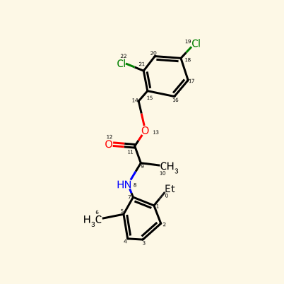 CCc1cccc(C)c1NC(C)C(=O)OCc1ccc(Cl)cc1Cl